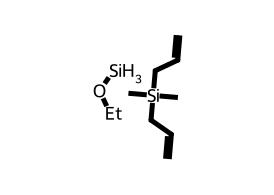 C=CC[Si](C)(C)CC=C.CCO[SiH3]